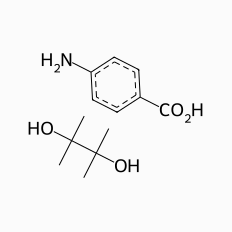 CC(C)(O)C(C)(C)O.Nc1ccc(C(=O)O)cc1